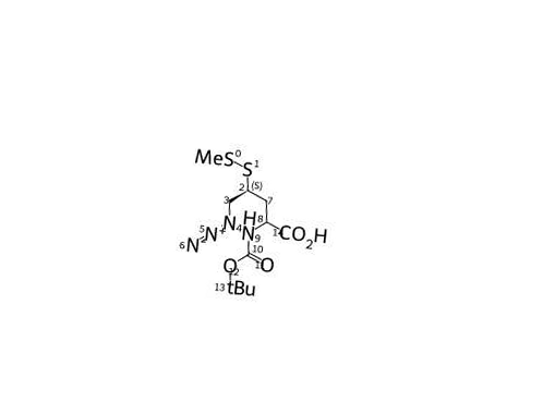 CSS[C@H](CN=[N+]=[N-])CC(NC(=O)OC(C)(C)C)C(=O)O